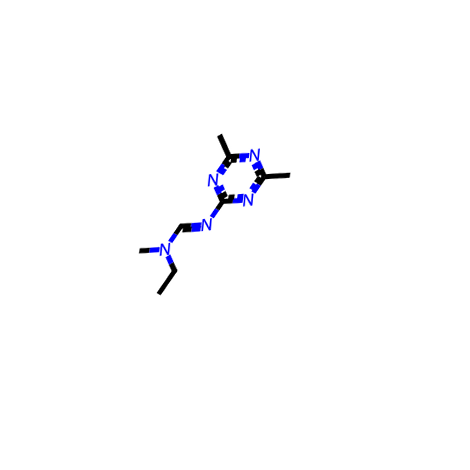 CCN(C)C=Nc1nc(C)nc(C)n1